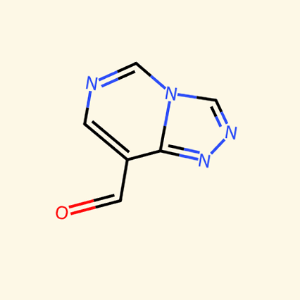 O=Cc1cncn2cnnc12